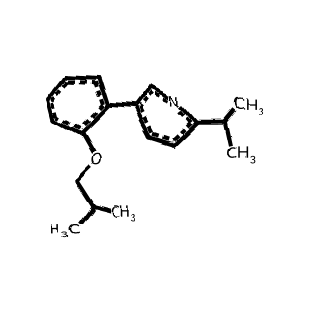 CC(C)COc1ccccc1-c1ccc(C(C)C)nc1